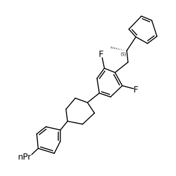 CCCc1ccc(C2CCC(c3cc(F)c(C[C@H](C)c4ccccc4)c(F)c3)CC2)cc1